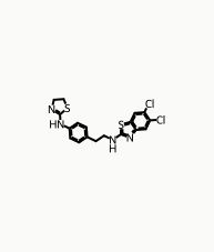 Clc1cc2nc(NCCc3ccc(NC4=NCCS4)cc3)sc2cc1Cl